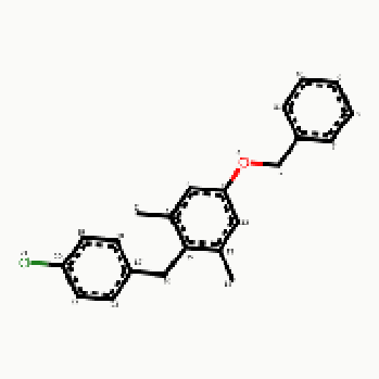 Cc1cc(OCc2ccccc2)cc(C)c1Cc1ccc(Cl)cc1